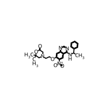 CC(Nc1ncnc2cc(OCCN3CC(=O)OC(C)(C)C3)c([N+](=O)[O-])cc12)c1ccccc1